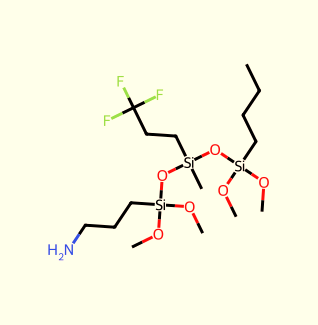 CCCC[Si](OC)(OC)O[Si](C)(CCC(F)(F)F)O[Si](CCCN)(OC)OC